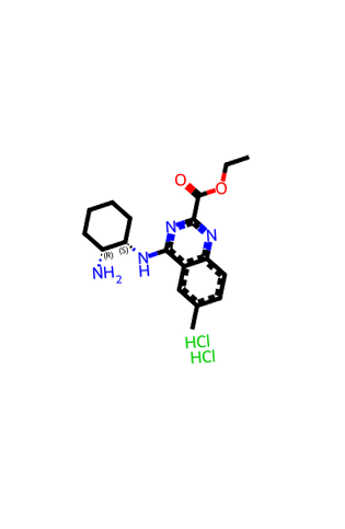 CCOC(=O)c1nc(N[C@H]2CCCC[C@H]2N)c2cc(C)ccc2n1.Cl.Cl